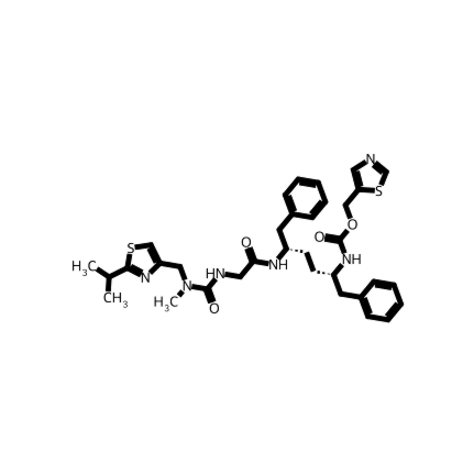 CC(C)c1nc(CN(C)C(=O)NCC(=O)N[C@@H](CC[C@@H](Cc2ccccc2)NC(=O)OCc2cncs2)Cc2ccccc2)cs1